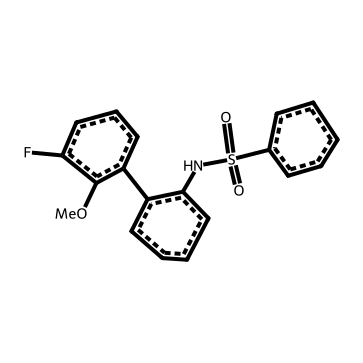 COc1c(F)cccc1-c1ccccc1NS(=O)(=O)c1ccccc1